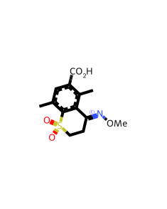 CO/N=C1\CCS(=O)(=O)c2c(C)cc(C(=O)O)c(C)c21